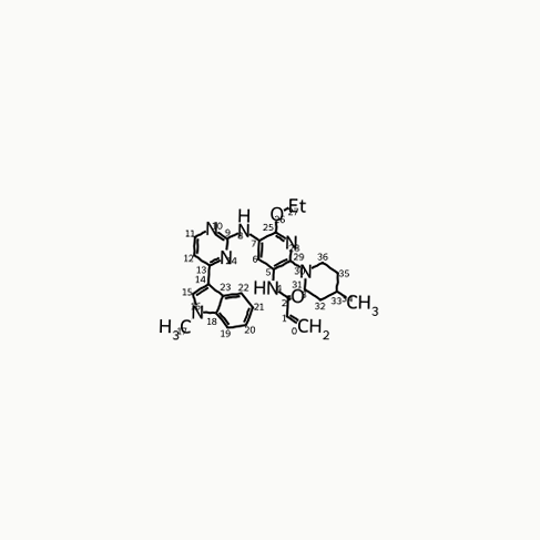 C=CC(=O)Nc1cc(Nc2nccc(-c3cn(C)c4ccccc34)n2)c(OCC)nc1N1CCC(C)CC1